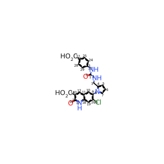 O=C(NCc1cccn1-c1cc2cc(C(=O)O)c(=O)[nH]c2cc1Cl)Nc1ccc(C(=O)O)cc1